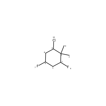 CC1(C)C(F)CC(F)CC1Cl